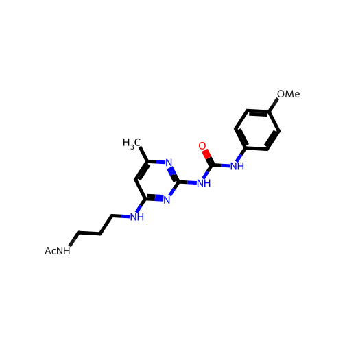 COc1ccc(NC(=O)Nc2nc(C)cc(NCCCNC(C)=O)n2)cc1